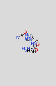 COc1cc(C(=O)N2C[C@H](N)[C@@H]3CC[C@H]2C3)cc2nc(-c3cc4ccc([C@@H](C)NC(=O)C56CC(C#N)(C5)C6)nc4n3CC3CC3)c(C3CC3)n12